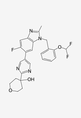 Cc1nc2cc(F)c(-c3cnc(C4(O)CCOCC4)nc3)cc2n1Cc1ccccc1OC(F)F